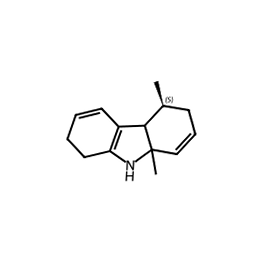 C[C@H]1CC=CC2(C)NC3=C(C=CCC3)C12